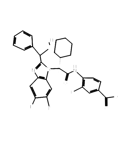 COC(c1ccccc1)c1nc2cc(F)c(F)cc2n1[C@@H](C(=O)Nc1ccc(C(=O)O)cc1F)C1CCCCC1